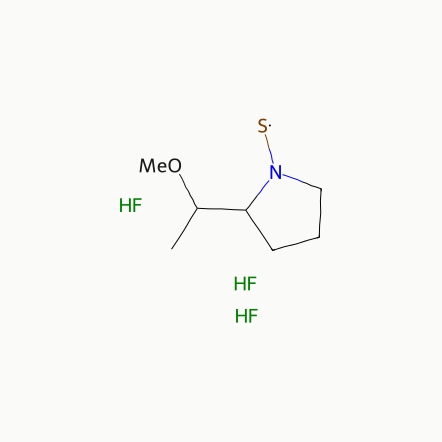 COC(C)C1CCCN1[S].F.F.F